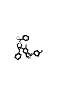 Cc1cc2c(cnn2-c2ccc(F)cc2)cc1C12CN(C(=O)c3ccccc3)CC1C2c1ccccc1